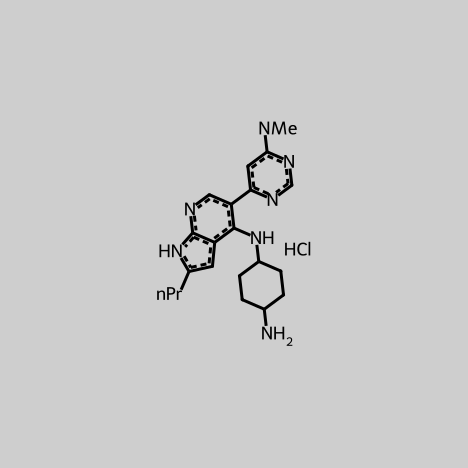 CCCc1cc2c(NC3CCC(N)CC3)c(-c3cc(NC)ncn3)cnc2[nH]1.Cl